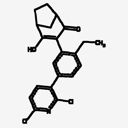 CCc1ccc(-c2ccc(Cl)nc2Cl)cc1C1=C(O)C2CCC(C2)C1=O